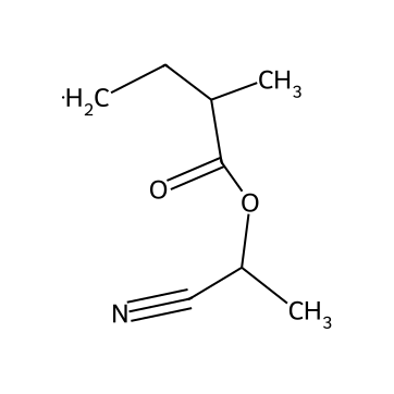 [CH2]CC(C)C(=O)OC(C)C#N